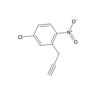 C#CCc1cc(Cl)ccc1[N+](=O)[O-]